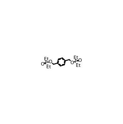 CCP(=O)(CC)OCc1ccc(COP(=O)(CC)CC)cc1